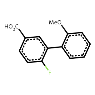 COc1ccccc1-c1cc(C(=O)O)ccc1F